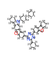 c1ccc(-c2ccc(-n3c4ccccc4c4cc5oc6ccc(-c7nc(-c8ccccc8)nc(-c8ccc9c(c8)oc8ccccc89)n7)cc6c5cc43)cc2)cc1